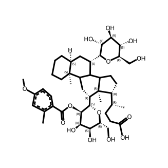 COc1ccc(C(=O)O[C@@H]2[C@H](O)[C@H](O)[C@@H](CO)O[C@H]2[C@@H]2CC3C(C4CC[C@H]([C@H](C)CCC(=O)O)[C@]42C)[C@@H](C2O[C@H](CO)[C@@H](O)[C@H](O)[C@H]2O)C[C@@H]2CCCC[C@]32C)c(C)c1